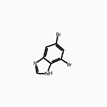 Brc1[c]c(Br)c2[nH]cnc2c1